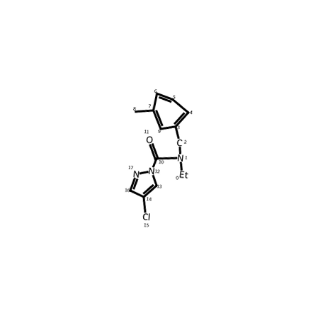 CCN(Cc1cccc(C)c1)C(=O)n1cc(Cl)cn1